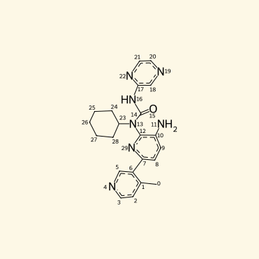 Cc1ccncc1-c1ccc(N)c(N(C(=O)Nc2cnccn2)C2CCCCC2)n1